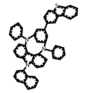 c1ccc(N2c3cc(-c4ccc5sc6ccccc6c5c4)cc(c3)N(c3ccccc3)c3cccc4c3c3c2cccc3n4-c2cccc3ccccc23)cc1